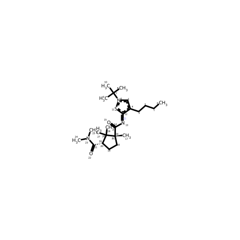 CCCCc1cn(C(C)(C)C)s/c1=N\C(=O)[C@]1(C)CC[C@H](C(=O)N(C)C)C1(C)C